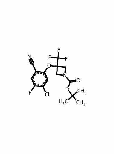 CC(C)(C)OC(=O)N1CC(Oc2cc(Cl)c(F)cc2C#N)(C(F)(F)F)C1